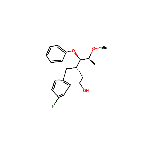 CCCCO[C@@H](C)[C@H](Oc1ccccc1)[C@H](CCO)Cc1ccc(F)cc1